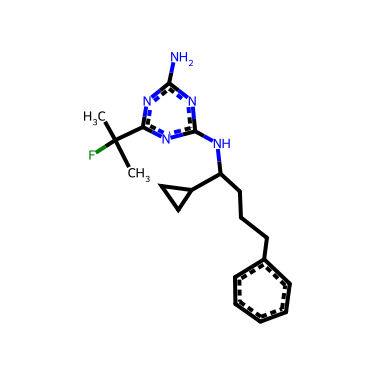 CC(C)(F)c1nc(N)nc(NC(CCCc2ccccc2)C2CC2)n1